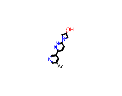 CC(=O)c1cncc(-c2ccc(N3CC(O)C3)nn2)c1